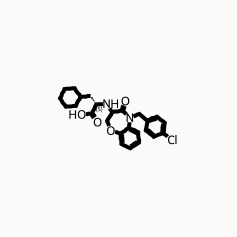 O=C(O)[C@H](CC1CCCCC1)NC1COc2ccccc2N(Cc2ccc(Cl)cc2)C1=O